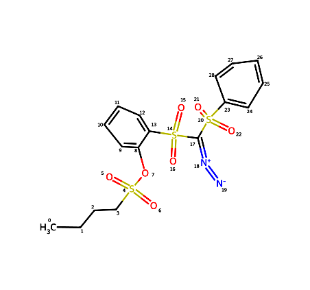 CCCCS(=O)(=O)Oc1ccccc1S(=O)(=O)C(=[N+]=[N-])S(=O)(=O)c1ccccc1